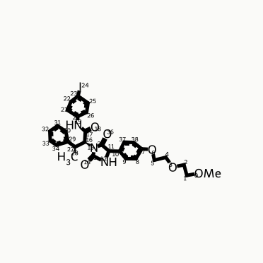 COCCOCCOc1ccc(C2NC(=O)N([C@H](C(=O)Nc3ccc(I)cc3)[C@@H](C)c3ccccc3)C2=O)cc1